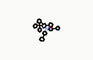 C1=C2c3ccccc3C(c3ccccc3)(c3ccccc3)C2CC(N(c2ccc(-c3ccccc3)cc2)c2ccc(-c3ccccc3)cc2)=C1c1ccccc1